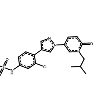 CC(C)Cn1cc(-n2cc(-c3ccc(NS(C)(=O)=O)cc3Cl)cn2)ccc1=O